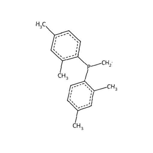 [CH2]P(c1ccc(C)cc1C)c1ccc(C)cc1C